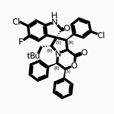 CC(C)(C)C[C@H]1N2C(C(=O)O[C@@H](c3ccccc3)[C@H]2c2ccccc2)[C@H](c2cccc(Cl)c2)[C@@]12C(=O)Nc1cc(Cl)c(F)cc12